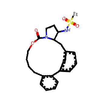 CCS(=O)(=O)NC1CCN2C(=O)OCCCCc3ccccc3-c3cccc(c3)CC12